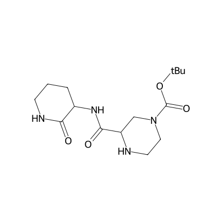 CC(C)(C)OC(=O)N1CCNC(C(=O)NC2CCCNC2=O)C1